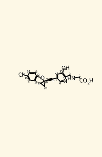 O=C(O)CNCc1ncc(C#CC2(Oc3ccc(Cl)cc3)CC2)cc1O